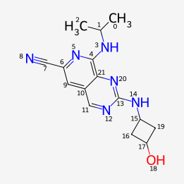 CC(C)Nc1nc(C#N)cc2cnc(NC3CC(O)C3)nc12